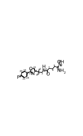 CC(C)(CNC(=O)CCC/C(N)=N\O)c1coc(-c2ccc(F)cc2)n1